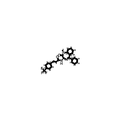 CN1C(=O)[C@H](NC(=O)/C=C/c2ccc(C(F)(F)F)cc2)N=C(c2ccccc2)c2ccccc21